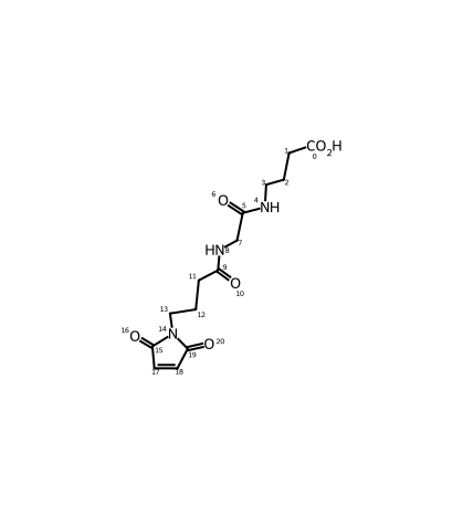 O=C(O)CCCNC(=O)CNC(=O)CCCN1C(=O)C=CC1=O